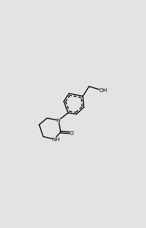 O=C1NCCCN1c1ccc(CO)cc1